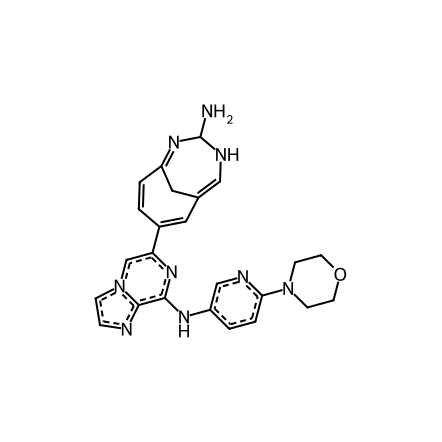 NC1N=C2C=CC(c3cn4ccnc4c(Nc4ccc(N5CCOCC5)nc4)n3)=CC(=CN1)C2